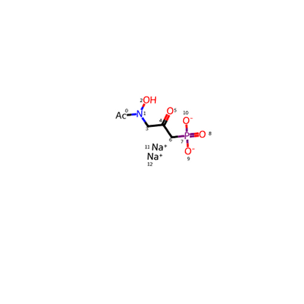 CC(=O)N(O)CC(=O)CP(=O)([O-])[O-].[Na+].[Na+]